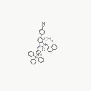 Cc1c(-c2ccc(C#N)cc2)ccc2c1N(Cc1cccc3ccccc13)C(=O)/C2=C\c1cnn(C(c2ccccc2)(c2ccccc2)c2ccccc2)c1